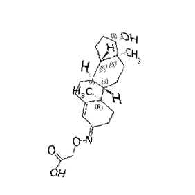 C[C@]12CC[C@H]3[C@@H](CCC4=CC(=NOCC(=O)O)CC[C@@]43C)[C@@H]1CC[C@@H]2O